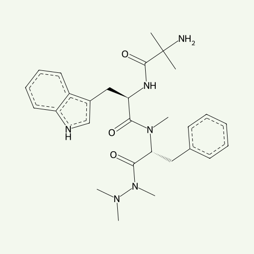 CN(C(=O)[C@@H](Cc1c[nH]c2ccccc12)NC(=O)C(C)(C)N)[C@H](Cc1ccccc1)C(=O)N(C)N(C)C